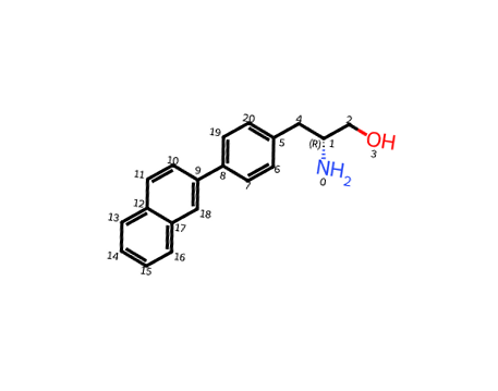 N[C@@H](CO)Cc1ccc(-c2ccc3ccccc3c2)cc1